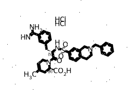 CC1=CCN(C(=O)[C@H](Cc2cccc(C(=N)N)c2)NS(=O)(=O)c2ccc3c(c2)CN(Cc2ccccc2)CC3)[C@@H](C(=O)O)C1.Cl.Cl